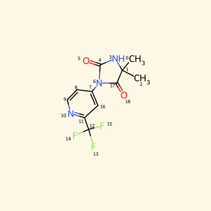 CC1(C)NC(=O)N(c2ccnc(C(F)(F)F)c2)C1=O